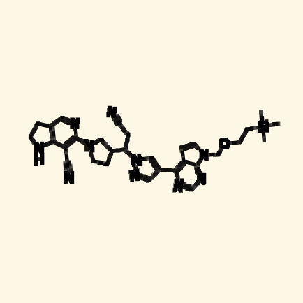 C[Si](C)(C)CCOCn1ccc2c(-c3cnn(C(CC#N)C4CCN(c5ncc6c(c5C#N)NCC6)C4)c3)ncnc21